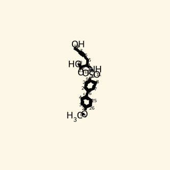 COc1ccc(-c2ccc(S(=O)(=O)NC(CC#CCO)C(=O)O)cc2)cc1